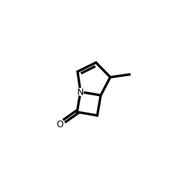 CC1C=CN2C(=O)CC12